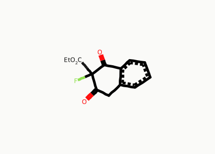 CCOC(=O)C1(F)C(=O)Cc2ccccc2C1=O